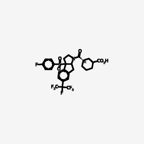 O=C(O)C1CCC[C@H](C(=O)N2CCC3(S(=O)(=O)c4ccc(F)cc4)c4ccc(C(F)(C(F)(F)F)C(F)(F)F)cc4CC23)C1